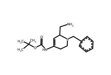 CC(C)(C)OC(=O)NC1=CC(CN)N(Cc2ccccc2)CC1